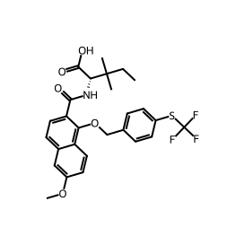 CCC(C)(C)[C@H](NC(=O)c1ccc2cc(OC)ccc2c1OCc1ccc(SC(F)(F)F)cc1)C(=O)O